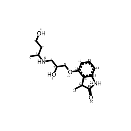 CC(CCO)NCC(O)COc1cccc2c1C(C)C(=O)N2